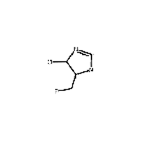 FCC1[N][C]=NC1Cl